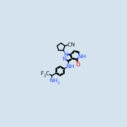 N#CC1CCCC1n1nc(Nc2ccc(C(N)C(F)(F)F)cc2)c2c(=O)[nH]ccc21